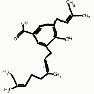 CC(C)=CCC/C(C)=C/Cc1cc(C(=O)O)cc(CC=C(C)C)c1O